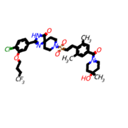 Cc1cc(C(=O)N2CCC(C)(O)CC2)cc(C)c1C=CS(=O)(=O)N1CCC2(CC1)N=C(c1ccc(Cl)c(OCCCC(F)(F)F)c1)NC2=O